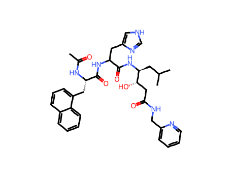 CC(=O)N[C@@H](Cc1cccc2ccccc12)C(=O)NC(Cc1c[nH]cn1)C(=O)N[C@@H](CC(C)C)[C@@H](O)CC(=O)NCc1ccccn1